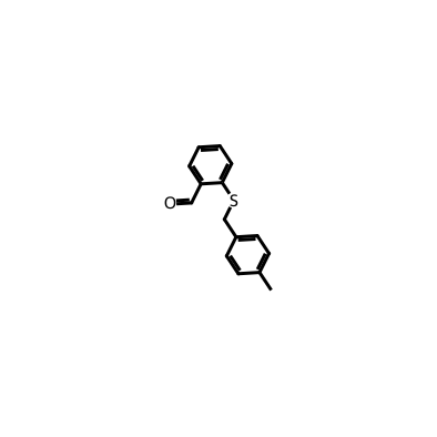 Cc1ccc(CSc2ccccc2C=O)cc1